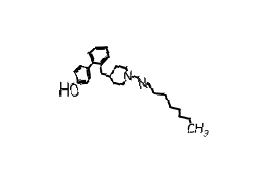 CCCCCCCCN=CN1CCC(Cc2ccccc2-c2ccc(O)cc2)CC1